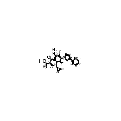 Nc1c(F)c(N2CCC(c3ccccn3)C2)c(F)c2c1c(=O)c(C(=O)O)cn2C1CC1